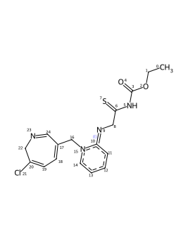 CCOC(=O)NC(=S)C/N=c1\ccccn1CC1=CC=C(Cl)CN=C1